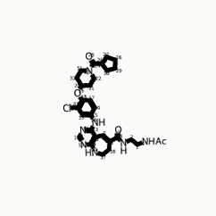 CC(=O)NCCNC(=O)C1=Cc2c(ncnc2Nc2ccc(OC3CCN(C(=O)C4CCCC4)CC3)c(Cl)c2)NCC1